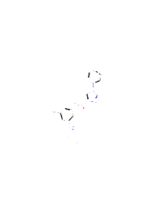 CSNc1cc(Cl)cc(NC(=O)c2cn(-c3ccccc3)cn2)c1